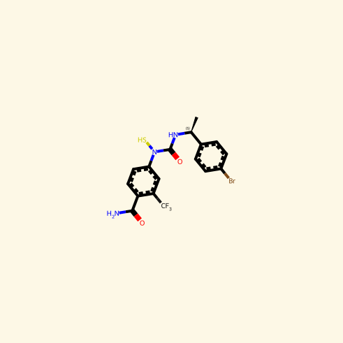 C[C@H](NC(=O)N(S)c1ccc(C(N)=O)c(C(F)(F)F)c1)c1ccc(Br)cc1